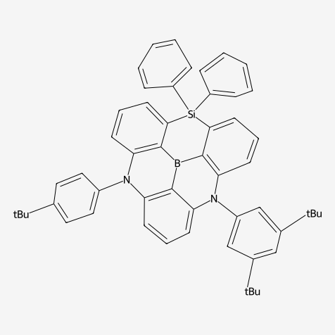 CC(C)(C)c1ccc(N2c3cccc4c3B3c5c2cccc5[Si](c2ccccc2)(c2ccccc2)c2cccc(c23)N4c2cc(C(C)(C)C)cc(C(C)(C)C)c2)cc1